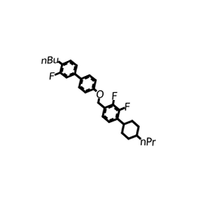 CCCCc1ccc(-c2ccc(OCc3ccc(C4CCC(CCC)CC4)c(F)c3F)cc2)cc1F